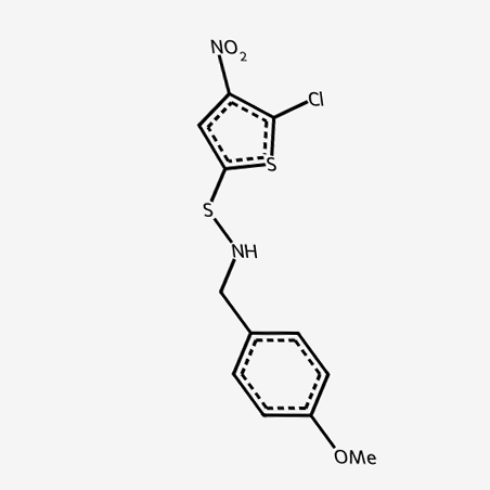 COc1ccc(CNSc2cc([N+](=O)[O-])c(Cl)s2)cc1